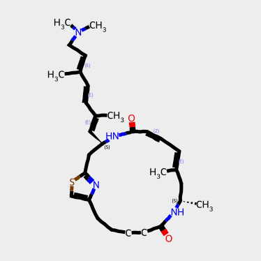 CC(/C=C/C(C)=C/[C@@H]1Cc2nc(cs2)CCCCC(=O)N[C@@H](C)C/C(C)=C/C=C\C(=O)N1)=C\CN(C)C